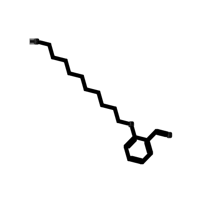 O=Cc1ccccc1OCCCCCCCCCCO